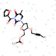 Cc1cn([C@H]2C[C@H](OCC#CC(C)C)[C@@H](COC(=O)C(F)(F)F)O2)c(=O)n(C(=O)c2ccco2)c1=O